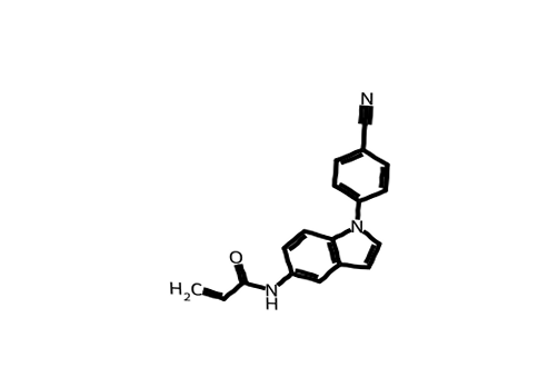 C=CC(=O)Nc1ccc2c(ccn2-c2ccc(C#N)cc2)c1